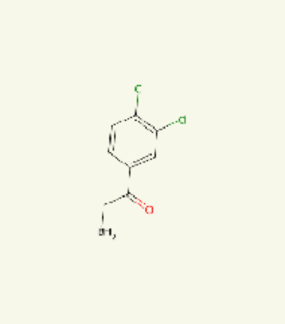 BCC(=O)c1ccc(Cl)c(Cl)c1